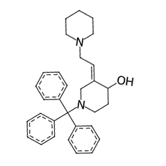 OC1CCN(C(c2ccccc2)(c2ccccc2)c2ccccc2)C/C1=C\CN1CCCCC1